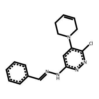 Clc1nnc(NN=Cc2ccccc2)cc1N1CC=CCC1